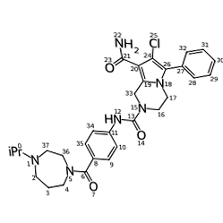 CC(C)N1CCCN(C(=O)c2ccc(NC(=O)N3CCn4c(c(C(N)=O)c(Cl)c4-c4ccccc4)C3)cc2)CC1